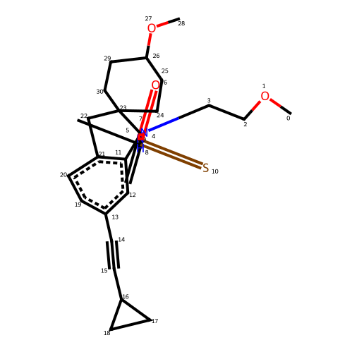 COCCN1C(=O)C2(NC1=S)c1cc(C#CC3CC3)ccc1CC21CCC(OC)CC1